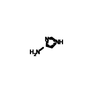 CN.c1c[nH]cn1